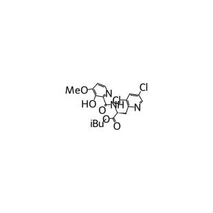 CCC(C)OC(=O)[C@H](Cc1ncc(Cl)cc1Cl)NC(=O)c1nccc(OC)c1O